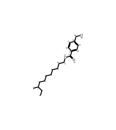 CCC(C)CCCCCCC[CH]OC(=O)c1ccc(CCl)cc1